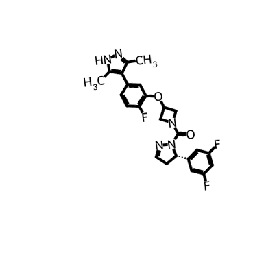 Cc1n[nH]c(C)c1-c1ccc(F)c(OC2CN(C(=O)N3N=CC[C@H]3c3cc(F)cc(F)c3)C2)c1